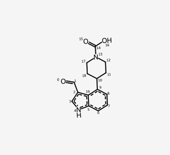 O=Cc1c[nH]c2cccc(C3CCN(C(=O)O)CC3)c12